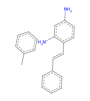 Cc1ccccc1.Nc1ccc(C=Cc2ccccc2)c(N)c1